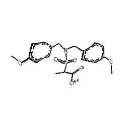 COc1ccc(CN(Cc2ccc(OC)cc2)S(=O)(=O)C(C)C(=O)O)cc1